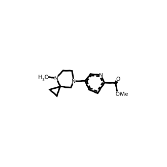 COC(=O)c1ccc(N2CCN(C)C3(CC3)C2)cn1